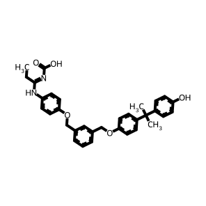 CCC(=NC(=O)O)Nc1ccc(OCc2cccc(COc3ccc(C(C)(C)c4ccc(O)cc4)cc3)c2)cc1